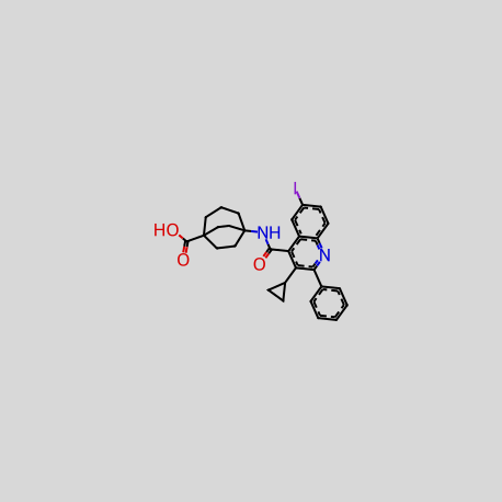 O=C(NC12CCCC(C(=O)O)(CC1)CC2)c1c(C2CC2)c(-c2ccccc2)nc2ccc(I)cc12